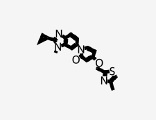 Cc1csc(COc2ccn(-c3ccc4nc(C5CC5)n(C)c4c3)c(=O)c2)n1